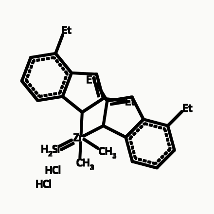 CCC1=Cc2c(CC)cccc2[CH]1[Zr]([CH3])([CH3])(=[SiH2])[CH]1C(CC)=Cc2c(CC)cccc21.Cl.Cl